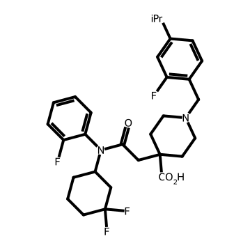 CC(C)c1ccc(CN2CCC(CC(=O)N(c3ccccc3F)C3CCCC(F)(F)C3)(C(=O)O)CC2)c(F)c1